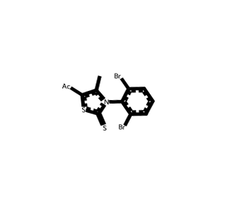 CC(=O)c1sc(=S)n(-c2c(Br)cccc2Br)c1C